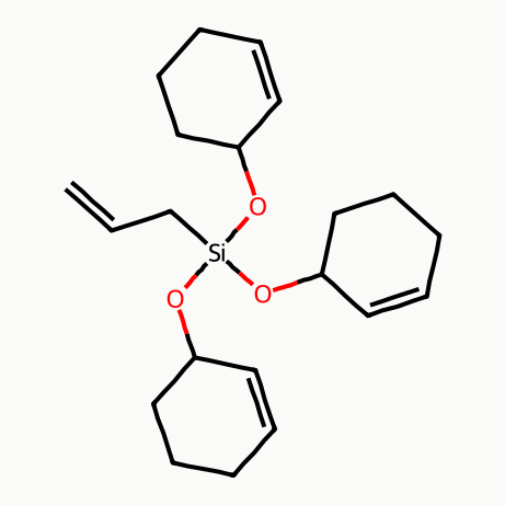 C=CC[Si](OC1C=CCCC1)(OC1C=CCCC1)OC1C=CCCC1